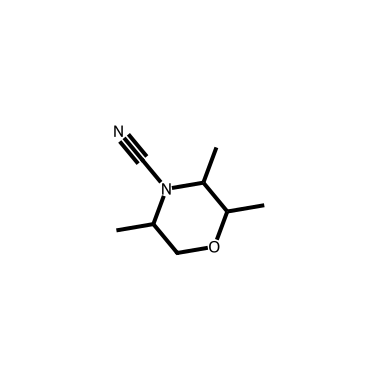 CC1OCC(C)N(C#N)C1C